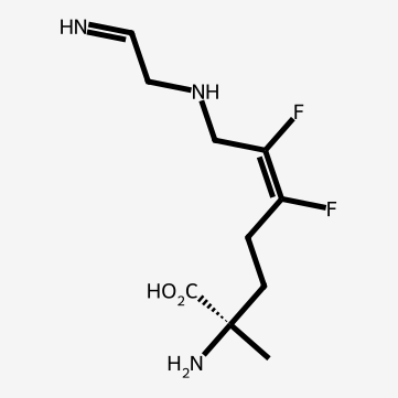 C[C@@](N)(CC/C(F)=C(/F)CNCC=N)C(=O)O